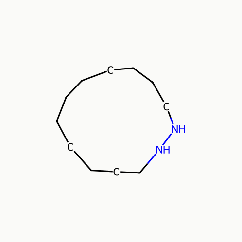 C1CCCCCNNCCCCC1